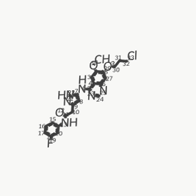 COc1cc2c(Nc3cc(CC(=O)Nc4cccc(F)c4)n[nH]3)ncnc2cc1OCCCCl